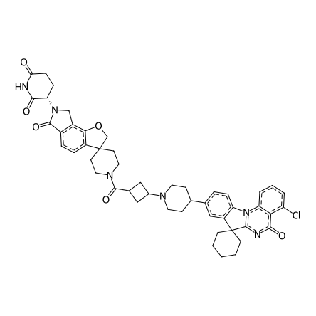 O=C1CC[C@H](N2Cc3c(ccc4c3OCC43CCN(C(=O)C4CC(N5CCC(c6ccc7c(c6)C6(CCCCC6)c6nc(=O)c8c(Cl)cccc8n6-7)CC5)C4)CC3)C2=O)C(=O)N1